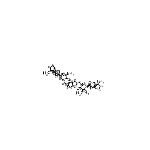 C=C(C)C(=O)N(CCC(=O)OC1CC2(C)CCC1C2(C)C)CC1CC2C3CC(CN(CCC(=O)OC4CC5(C)CCC4C5(C)C)C(=O)C(=C)C)C(C3)C2C1